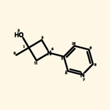 CC1(O)CN(c2[c]nccc2)C1